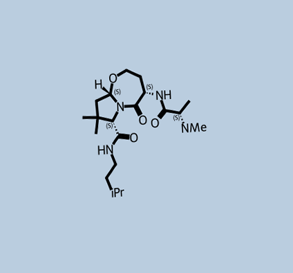 CN[C@@H](C)C(=O)N[C@H]1CCO[C@H]2CC(C)(C)[C@@H](C(=O)NCCC(C)C)N2C1=O